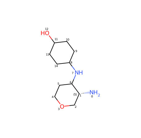 N[C@@H]1COCCC1NC1CCC(O)CC1